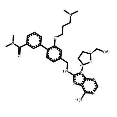 CN(C)CCCOc1cc(CNc2nc3c(N)ncnc3n2[C@H]2CC[C@@H](CO)O2)ccc1-c1cccc(C(=O)N(C)C)c1